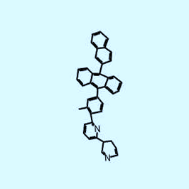 Cc1cc(-c2c3ccccc3c(-c3ccc4ccccc4c3)c3ccccc23)ccc1-c1cccc(C2C=NC=CC2)n1